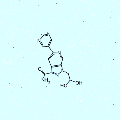 NC(=O)c1nn(CC(O)O)c2cnc(-c3cncnc3)cc12